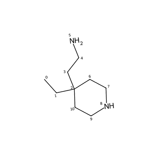 CCC1(CCN)CCNCC1